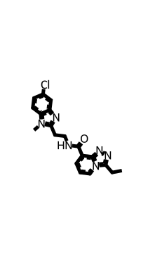 CCc1nnc2c(C(=O)NCCc3nc4cc(Cl)ccc4n3C)cccn12